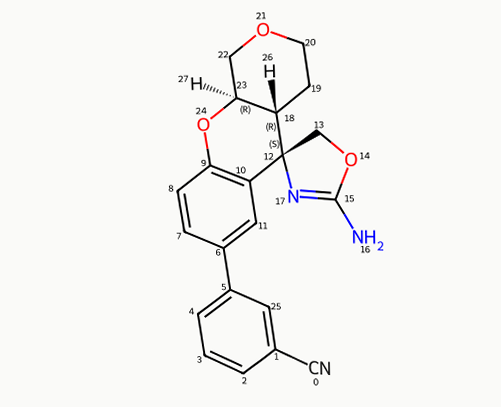 N#Cc1cccc(-c2ccc3c(c2)[C@]2(COC(N)=N2)[C@H]2CCOC[C@@H]2O3)c1